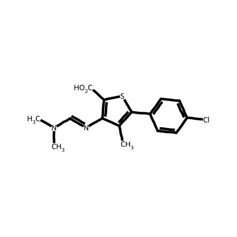 Cc1c(-c2ccc(Cl)cc2)sc(C(=O)O)c1N=CN(C)C